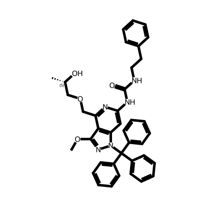 COc1nn(C(c2ccccc2)(c2ccccc2)c2ccccc2)c2cc(NC(=O)NCCc3ccccc3)nc(COC[C@H](C)O)c12